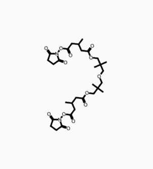 CC(CC(=O)OCC(C)(C)COCC(C)(C)COC(=O)CC(C)CC(=O)ON1C(=O)CCC1=O)CC(=O)ON1C(=O)CCC1=O